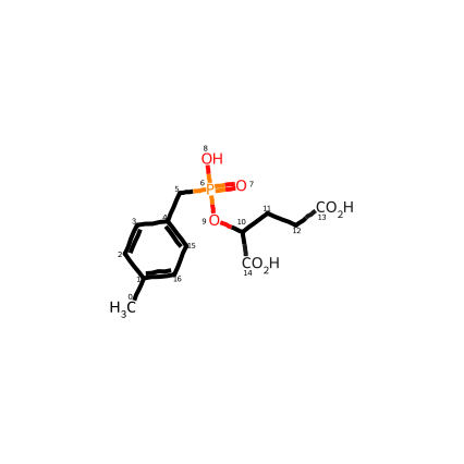 Cc1ccc(CP(=O)(O)OC(CCC(=O)O)C(=O)O)cc1